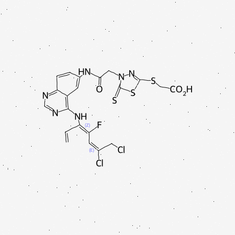 C=C/C(Nc1ncnc2ccc(NC(=O)Cn3nc(SCC(=O)O)sc3=S)cc12)=C(F)\C=C(\Cl)CCl